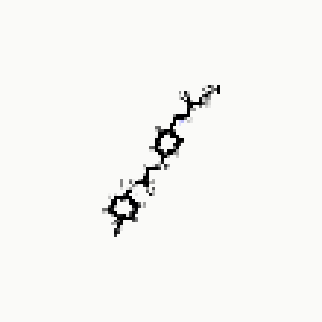 O=C(/C=C/c1ccc(OCC(=O)Nc2ccc(F)cc2)cc1)NO